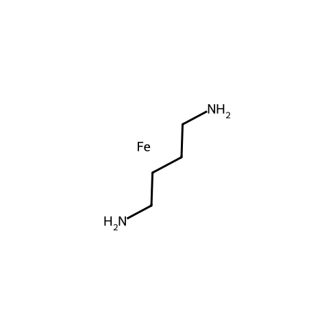 NCCCCN.[Fe]